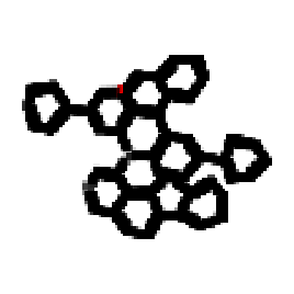 c1ccc(-c2cccc(N(c3ccc(-c4ccccc4)cc3-c3cccc4ccccc34)c3cncc4ccc5c6ccccc6oc5c34)c2)cc1